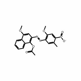 COc1cc([N+](=O)[O-])c(C)cc1N=Nc1cc(OC)c2ccccc2c1OC(C)=O